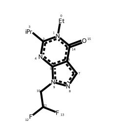 CCn1c(C(C)C)nc2c(cnn2CC(F)F)c1=O